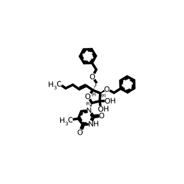 CCCC=C[C@]1(COCc2ccccc2)O[C@@H](n2cc(C)c(=O)[nH]c2=O)C(O)(O)[C@@H]1OCc1ccccc1